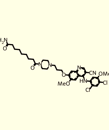 COc1cc(Nc2c(C#N)cnc3cc(OCCCN4CCN(C(=O)CCCCCCCC(N)=O)CC4)c(OC)cc23)c(Cl)cc1Cl